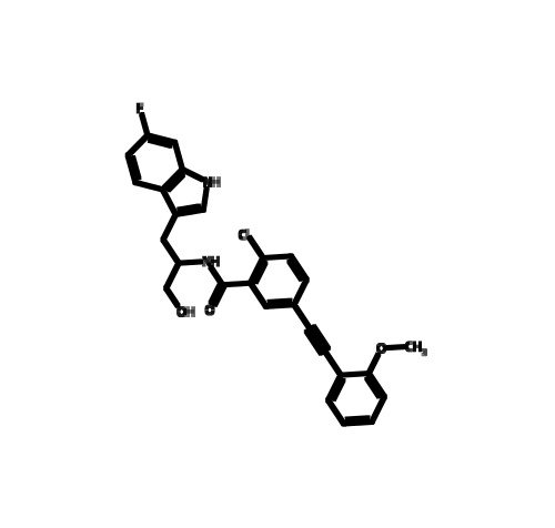 COc1ccccc1C#Cc1ccc(Cl)c(C(=O)NC(CO)Cc2c[nH]c3cc(F)ccc23)c1